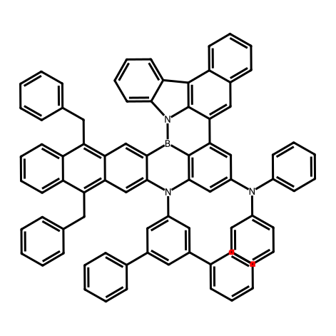 c1ccc(Cc2c3ccccc3c(Cc3ccccc3)c3cc4c(cc23)B2c3c(cc(N(c5ccccc5)c5ccccc5)cc3N4c3cc(-c4ccccc4)cc(-c4ccccc4)c3)-c3cc4ccccc4c4c5ccccc5n2c34)cc1